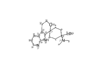 CCCCC1(N(C)C)CCC2(CC1)OCCc1c2[nH]c2ncccc12